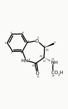 C[C@@H]1Oc2ccccc2NC(=O)[C@H]1NC(=O)O